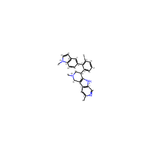 Cc1cc2c3c([nH]c2cn1)C(c1cccc(C)c1-c1ccc2c(ccn2C)c1)CN(C)C3